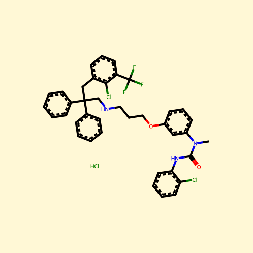 CN(C(=O)Nc1ccccc1Cl)c1cccc(OCCCNCC(Cc2cccc(C(F)(F)F)c2Cl)(c2ccccc2)c2ccccc2)c1.Cl